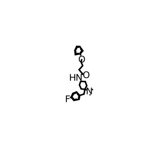 CN(C)C1(Cc2ccc(F)cc2)CCC(NC(=O)CCCOc2ccccc2)CC1